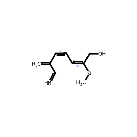 C=C(C=N)/C=C\C=C(/CO)OC